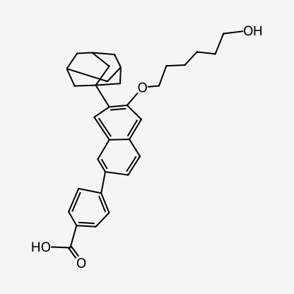 O=C(O)c1ccc(-c2ccc3cc(OCCCCCCO)c(C45CC6CC(CC(C6)C4)C5)cc3c2)cc1